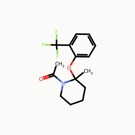 CC(=O)N1CCCCC1(C)Oc1ccccc1C(F)(F)F